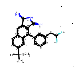 CCC(C)(C)c1ccc2cc3c(c(-c4cccc(CC(F)F)c4)c2c1)C(=N)NC3=N